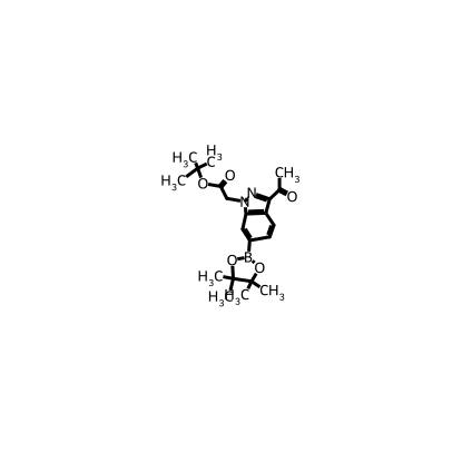 CC(=O)c1nn(CC(=O)OC(C)(C)C)c2cc(B3OC(C)(C)C(C)(C)O3)ccc12